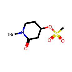 CC(C)(C)N1CCC(OS(C)(=O)=O)CC1=O